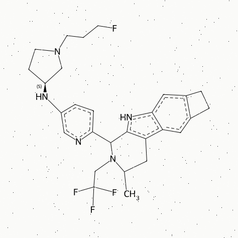 CC1Cc2c([nH]c3cc4c(cc23)CC4)C(c2ccc(N[C@H]3CCN(CCCF)C3)cn2)N1CC(F)(F)F